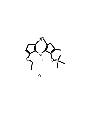 CCOC1=CCC(Cl)=C1[SiH2]C1=C(Cl)CC(C)=C1O[Si](C)(C)C.[Zr]